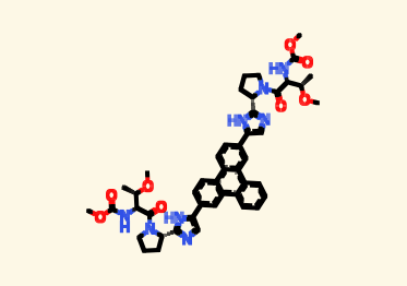 COC(=O)N[C@H](C(=O)N1CCC[C@H]1c1ncc(-c2ccc3c4ccc(-c5cnc([C@@H]6CCCN6C(=O)[C@@H](NC(=O)OC)[C@@H](C)OC)[nH]5)cc4c4ccccc4c3c2)[nH]1)[C@@H](C)OC